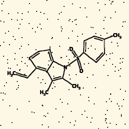 C=Cc1cccc2c1c(C)c(C)n2S(=O)(=O)c1ccc(C)cc1